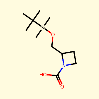 CC(C)(C)[Si](C)(C)OCC1CCN1C(=O)O